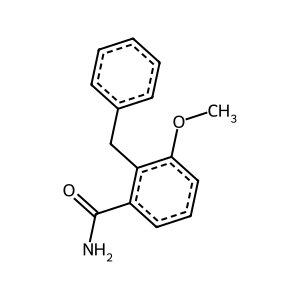 COc1cccc(C(N)=O)c1Cc1ccccc1